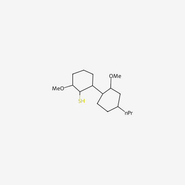 CCCC1CCC(C2CCCC(OC)C2S)C(OC)C1